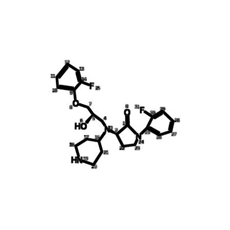 O=C1[C@H](N(C[C@@H](O)COc2ccccc2F)C2CCNCC2)CCN1c1ccccc1F